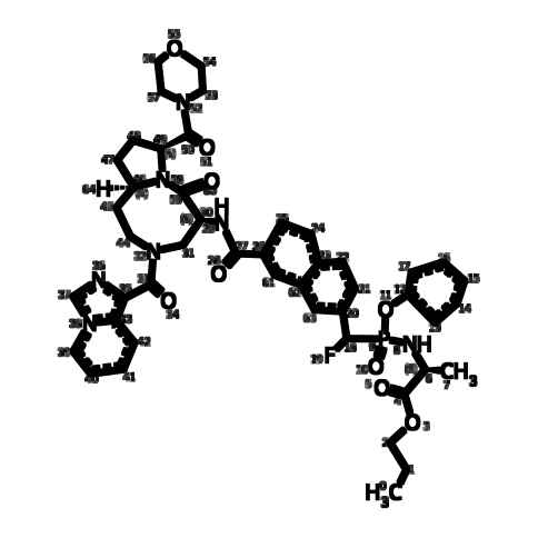 CCCOC(=O)[C@H](C)NP(=O)(Oc1ccccc1)C(F)c1ccc2ccc(C(=O)N[C@H]3CN(C(=O)c4ncn5ccccc45)CC[C@H]4CC[C@@H](C(=O)N5CCOCC5)N4C3=O)cc2c1